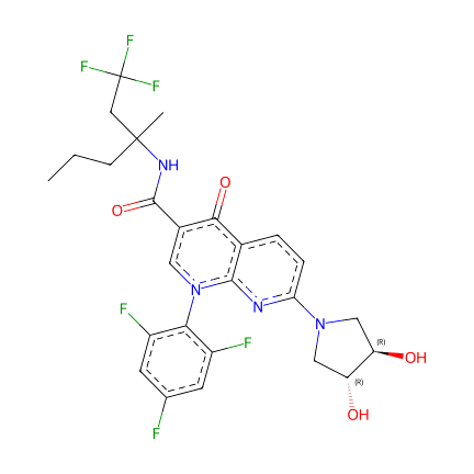 CCCC(C)(CC(F)(F)F)NC(=O)c1cn(-c2c(F)cc(F)cc2F)c2nc(N3C[C@@H](O)[C@H](O)C3)ccc2c1=O